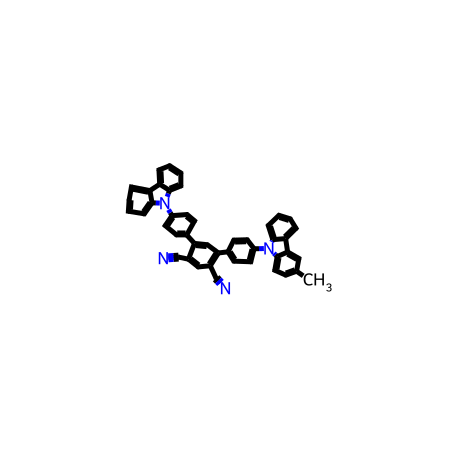 Cc1ccc2c(c1)c1ccccc1n2-c1ccc(-c2cc(-c3ccc(-n4c5ccccc5c5ccccc54)cc3)c(C#N)cc2C#N)cc1